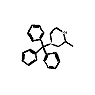 CC1CN(C(c2ccccc2)(c2ccccc2)c2ccccc2)CCN1